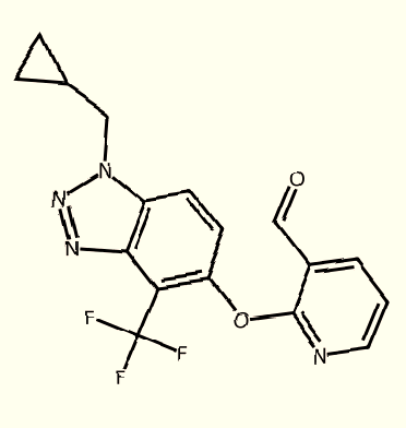 O=Cc1cccnc1Oc1ccc2c(nnn2CC2CC2)c1C(F)(F)F